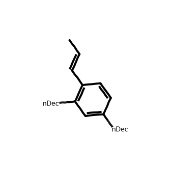 CC=Cc1ccc(CCCCCCCCCC)cc1CCCCCCCCCC